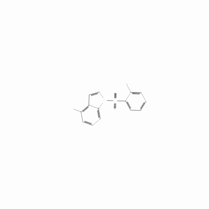 Cc1ccccc1S(=O)(=O)n1ccc2c(C=O)cccc21